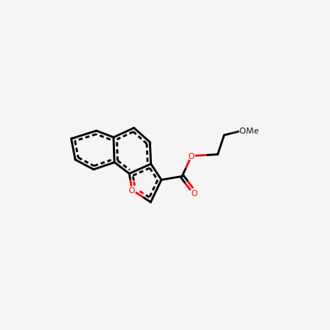 COCCOC(=O)c1coc2c1ccc1ccccc12